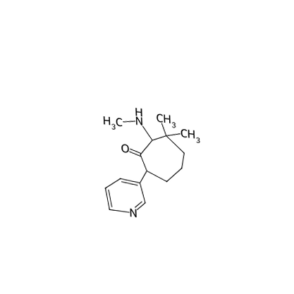 CNC1C(=O)C(c2cccnc2)CCCC1(C)C